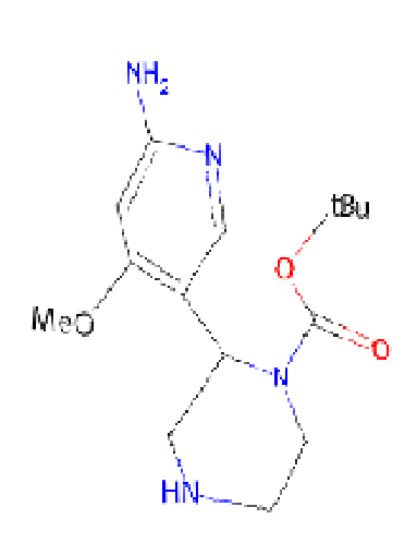 COc1cc(N)ncc1C1CNCCN1C(=O)OC(C)(C)C